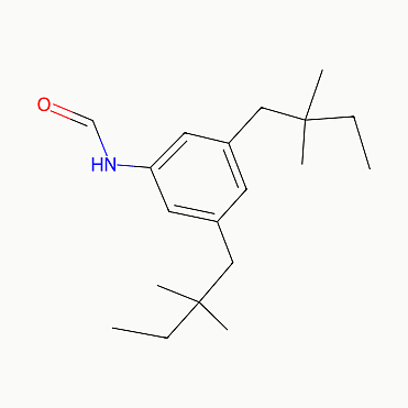 CCC(C)(C)Cc1cc(CC(C)(C)CC)cc(NC=O)c1